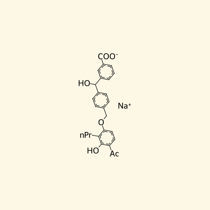 CCCc1c(OCc2ccc(C(O)c3cccc(C(=O)[O-])c3)cc2)ccc(C(C)=O)c1O.[Na+]